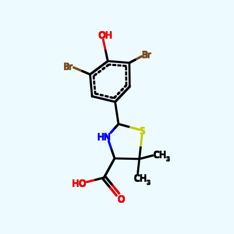 CC1(C)SC(c2cc(Br)c(O)c(Br)c2)NC1C(=O)O